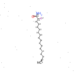 C#CCCCCCCCCCCCCCCC(I)C(N)=O